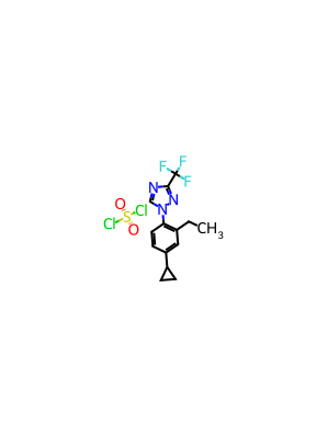 CCc1cc(C2CC2)ccc1-n1cnc(C(F)(F)F)n1.O=S(=O)(Cl)Cl